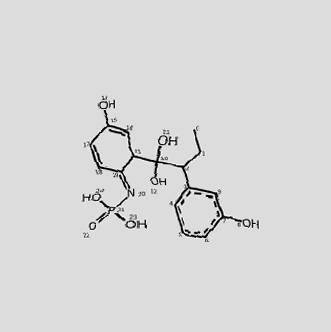 CCC(c1cccc(O)c1)C(O)(O)C1C=C(O)C=CC1=NP(=O)(O)O